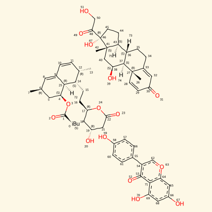 CC[C@H](C)C(=O)O[C@H]1C[C@@H](C)C=C2C=C[C@H](C)[C@H](CC[C@@H]3C[C@@H](O)CC(=O)O3)[C@H]21.C[C@]12C=CC(=O)C=C1CC[C@@H]1[C@@H]2[C@@H](O)C[C@@]2(C)[C@H]1CC[C@]2(O)C(=O)CO.O=c1c(-c2ccc(O)cc2)coc2cc(O)cc(O)c12